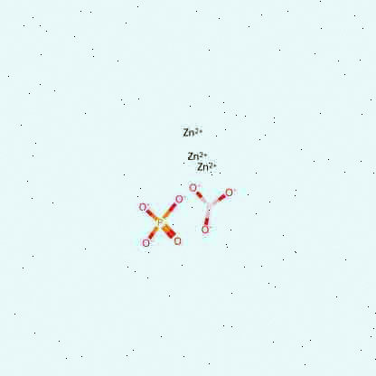 O=P([O-])([O-])[O-].[O-]B([O-])[O-].[Zn+2].[Zn+2].[Zn+2]